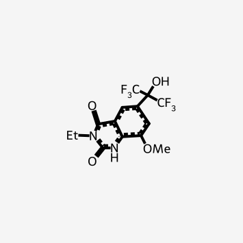 CCn1c(=O)[nH]c2c(OC)cc(C(O)(C(F)(F)F)C(F)(F)F)cc2c1=O